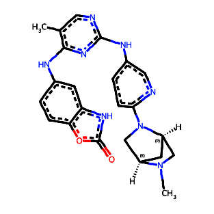 Cc1cnc(Nc2ccc(N3C[C@H]4C[C@@H]3CN4C)nc2)nc1Nc1ccc2oc(=O)[nH]c2c1